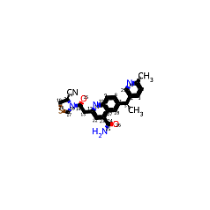 Cc1ccc([C@H](C)c2ccc3nc(CC(=O)N4CSC[C@H]4C#N)cc(C(N)=O)c3c2)cn1